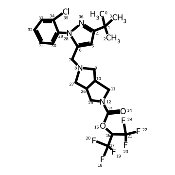 CC(C)(C)c1cc(CN2CC3CN(C(=O)OC(C(F)(F)F)C(F)(F)F)CC3C2)n(-c2ccccc2Cl)n1